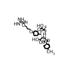 Cc1ccc(S(=O)(=O)N[C@@H](Cc2ccc(OCCCONC(=N)N)cc2)C(=O)O)cc1.O=C(O)C(F)(F)F